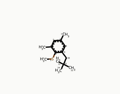 CSc1c(C)cc(C)cc1CC(C)(C)C